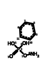 NOP(=O)(O)O.c1ccccc1